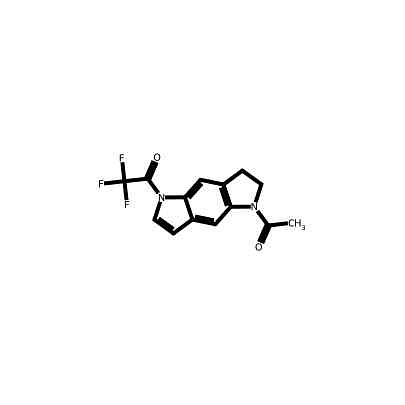 CC(=O)N1CCc2cc3c(ccn3C(=O)C(F)(F)F)cc21